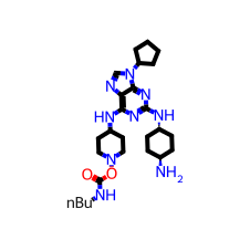 CCCCNC(=O)ON1CCC(Nc2nc(N[C@H]3CC[C@H](N)CC3)nc3c2ncn3C2CCCC2)CC1